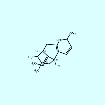 C/C=C1\[C@@H]2CC3=C(C=CC(OC)N3)[C@@]1(C#N)CC(C)C2C